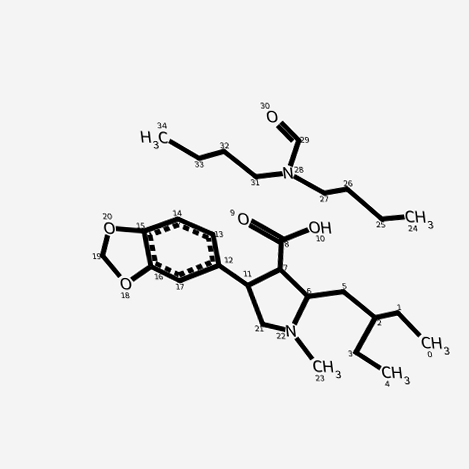 CCC(CC)CC1C(C(=O)O)C(c2ccc3c(c2)OCO3)CN1C.CCCCN(C=O)CCCC